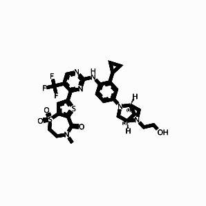 CN1CCS(=O)(=O)c2cc(-c3nc(Nc4ccc(N5C[C@H]6C[C@@H]5CN6CCO)cc4C4CC4)ncc3C(F)(F)F)sc2C1=O